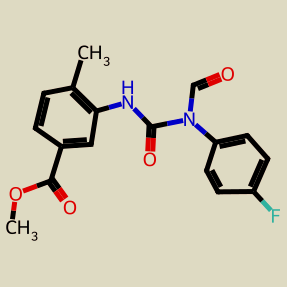 COC(=O)c1ccc(C)c(NC(=O)N(C=O)c2ccc(F)cc2)c1